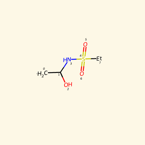 [CH2]C(O)NS(=O)(=O)CC